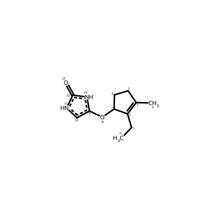 CCC1=C(C)CCC1Oc1c[nH]c(=O)[nH]1